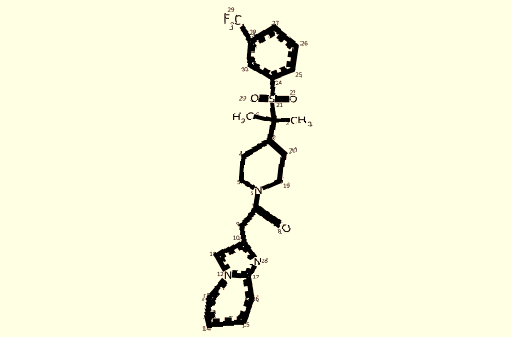 CC(C)(C1CCN(C(=O)Cc2cn3ccccc3n2)CC1)S(=O)(=O)c1cccc(C(F)(F)F)c1